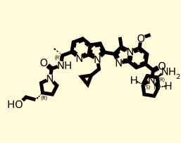 COc1cc(C(=O)N2[C@H]3CC[C@@H]2[C@H](N)C3)cc2nc(-c3cc4ccc([C@@H](C)NC(=O)N5CC[C@H](CCO)C5)nc4n3CC3CC3)c(C)n12